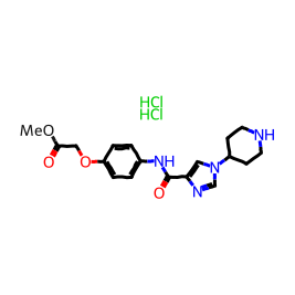 COC(=O)COc1ccc(NC(=O)c2cn(C3CCNCC3)cn2)cc1.Cl.Cl